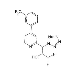 OC(C(F)F)C(c1cc(-c2cccc(C(F)(F)F)c2)ccn1)n1ncnn1